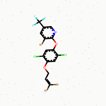 FC(F)(F)c1cnc(Oc2cc(Cl)c(OCC=C(Br)Br)cc2Cl)c(Br)c1